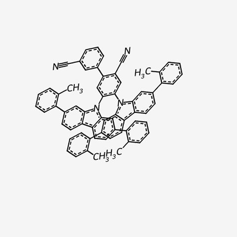 Cc1ccccc1-c1ccc2c3ccc(-c4ccccc4C)cc3n(-c3cc(C#N)c(-c4cccc(C#N)c4)cc3-n3c4cc(-c5ccccc5C)ccc4c4ccc(-c5ccccc5C)cc43)c2c1